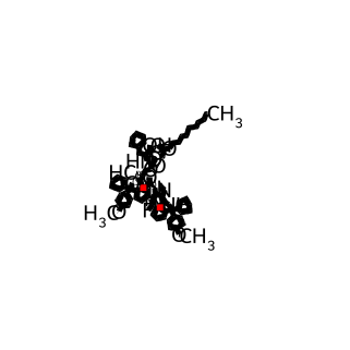 C#C[C@]1(COP(=O)(NC(Cc2ccccc2)C(=O)O)OCC(=O)OCCCCCCCCCC)O[C@@H](n2cnc3c(NC(c4ccccc4)(c4ccccc4)c4ccc(OC)cc4)nc(F)nc32)C[C@@H]1OC(c1ccccc1)(c1ccccc1)c1ccc(OC)cc1